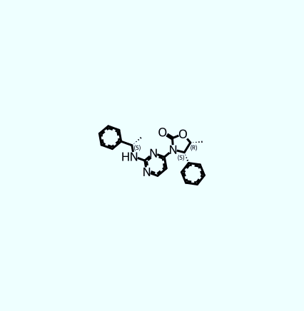 C[C@H](Nc1nccc(N2C(=O)O[C@H](C)[C@@H]2c2ccccc2)n1)c1ccccc1